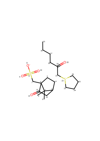 CC1(C)C2CCC1(CS(=O)(=O)[O-])C(=O)C2.CCCCC(=O)C[S+]1CCCC1